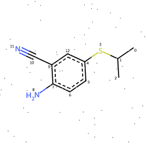 CC(C)Sc1ccc(N)c(C#N)c1